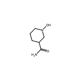 NC(=O)C1CCCN(O)C1